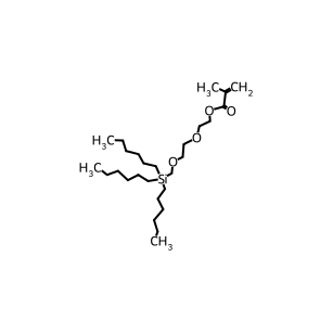 C=C(C)C(=O)OCCOCCOC[Si](CCCCCC)(CCCCCC)CCCCCC